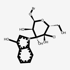 OC[C@H]1O[C@H](OBr)[C@H](O)[C@](O)(n2cc(O)c3ccccc32)[C@@]1(O)Cl